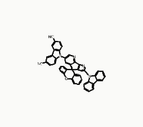 N#Cc1ccc2c(c1)c1cc(C#N)ccc1n2-c1cnc2c(c1)C1(c3ccccc3Oc3ccccc31)c1cc(-n3c4ccccc4c4ccccc43)cnc1-2